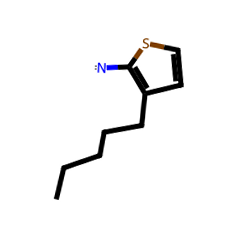 CCCCCc1ccsc1[N]